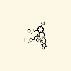 C=CCN1c2c(cc(Cl)cc2[N+](=O)[O-])CN(CC2COC2)S1(=O)=O